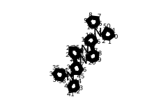 c1ccc(N(c2ccccc2)c2ccc3c(c2)c2cccc4c2n3c2cccc3c5cc(N(c6ccccc6)c6ccccc6)ccc5n4c32)cc1